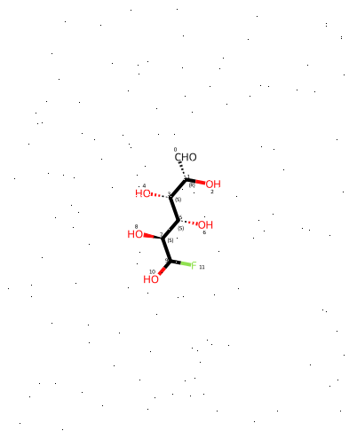 O=C[C@H](O)[C@@H](O)[C@H](O)[C@H](O)C(O)F